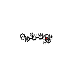 COc1nc(-c2ccc(N(C)[C@@H]3C[C@H]4CC[C@@H](C3)N4C(=O)O)nn2)ccc1-c1cnn(C2CCCCO2)c1